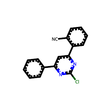 N#Cc1ccccc1-c1cc(-c2ccccc2)nc(Cl)n1